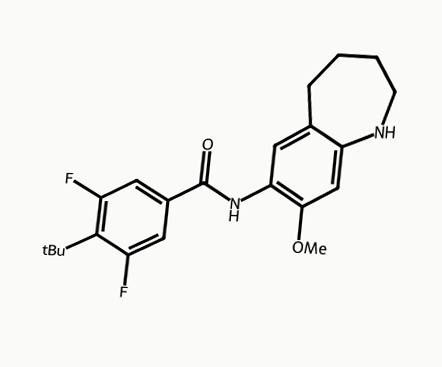 COc1cc2c(cc1NC(=O)c1cc(F)c(C(C)(C)C)c(F)c1)CCCCN2